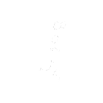 C=N/C=C(\OCN1CCC(NC(=O)c2ccc(-c3nccc4occc34)cc2)CC1)C(=O)OCC